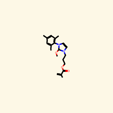 C=C(C)C(=O)OCCCN1C=CN(c2c(C)cc(C)cc2C)C1OC